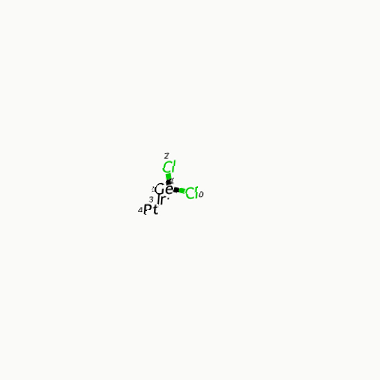 [Cl][Ge][Cl].[Ir].[Pt]